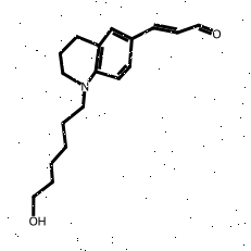 O=CC=Cc1ccc2c(c1)CCCN2CCCCCCO